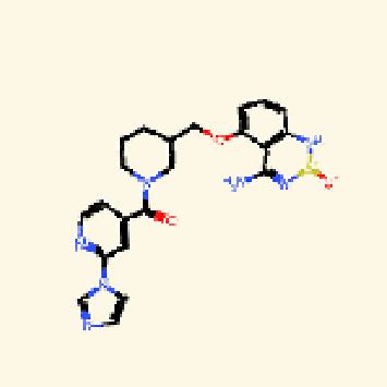 NC1=N[S+]([O-])Nc2cccc(OCC3CCCN(C(=O)c4ccnc(-n5ccnc5)c4)C3)c21